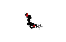 C=C/C=C\C(=C)c1ccccccc(-c2ccc(-c3ccc4oc5c(ccc6ccc7c8ccccc8oc7c65)c4c3)c3ccccc23)c2ccccc12